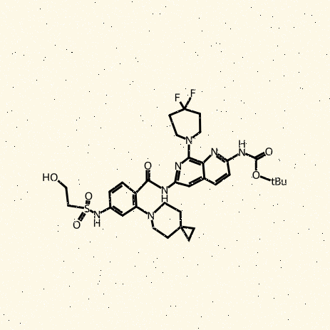 CC(C)(C)OC(=O)Nc1ccc2cc(NC(=O)c3ccc(NS(=O)(=O)CCO)cc3N3CCC4(CC3)CC4)nc(N3CCC(F)(F)CC3)c2n1